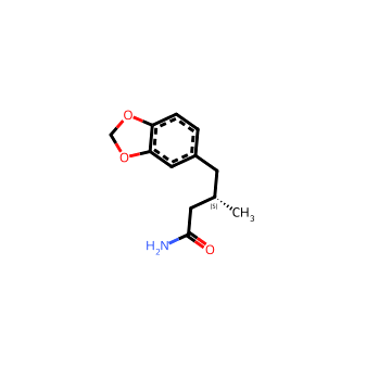 C[C@H](CC(N)=O)Cc1ccc2c(c1)OCO2